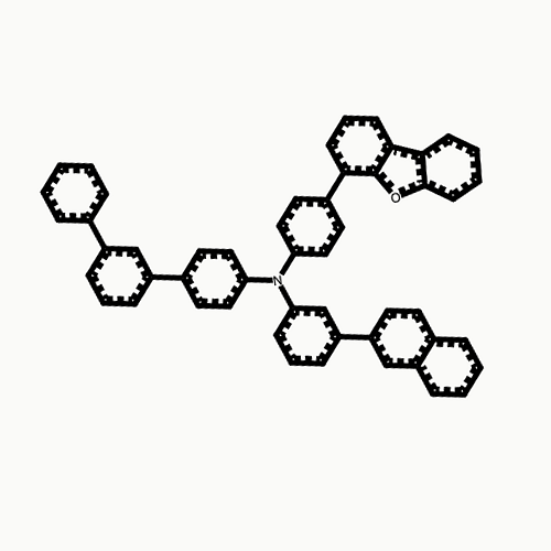 c1ccc(-c2cccc(-c3ccc(N(c4ccc(-c5cccc6c5oc5ccccc56)cc4)c4cccc(-c5ccc6ccccc6c5)c4)cc3)c2)cc1